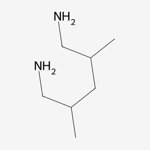 CC(CN)CC(C)CN